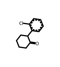 O=C1CCCCC1c1ccccc1Cl